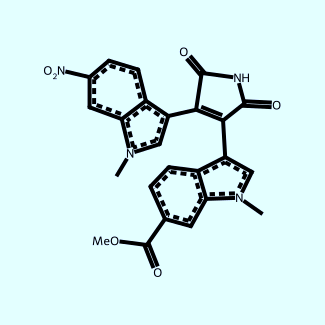 COC(=O)c1ccc2c(C3=C(c4cn(C)c5cc([N+](=O)[O-])ccc45)C(=O)NC3=O)cn(C)c2c1